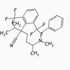 CC(CCC(C#N)(c1c(C(F)(F)F)cccc1C(F)(F)F)C(C)C)N(C)Cc1ccccc1